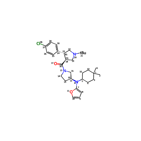 CC1(C)CCC(N(c2ccco2)[C@H]2CCN(C(=O)[C@@H]3CN(C(C)(C)C)C[C@H]3c3ccc(Cl)cc3)C2)CC1